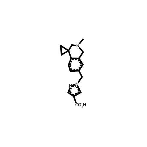 CN1Cc2cc(Cn3cc(C(=O)O)cn3)ccc2C2(CC2)C1